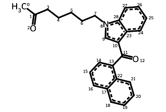 CC(=O)CCCCCn1cc(C(=O)c2cccc3ccccc23)c2ccccc21